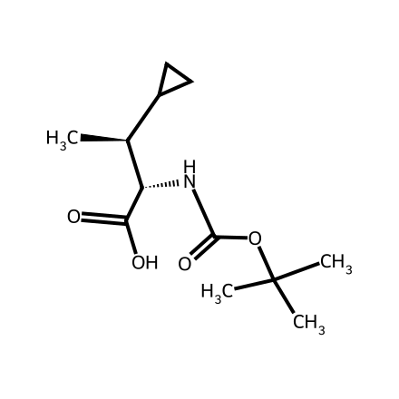 C[C@@H](C1CC1)[C@H](NC(=O)OC(C)(C)C)C(=O)O